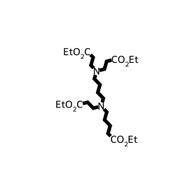 CCOC(=O)CCCCN(CCCCN(CCC(=O)OCC)CCC(=O)OCC)CCC(=O)OCC